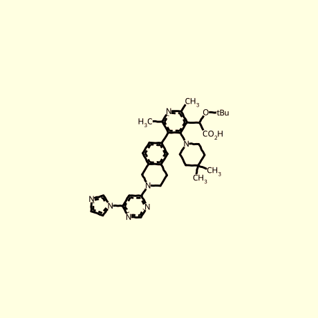 Cc1nc(C)c(C(OC(C)(C)C)C(=O)O)c(N2CCC(C)(C)CC2)c1-c1ccc2c(c1)CCN(c1cc(-n3ccnc3)ncn1)C2